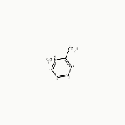 O=C(O)c1ccccn1.[Gd]